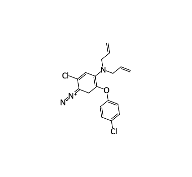 C=CCN(CC=C)C1=C(Oc2ccc(Cl)cc2)CC(=[N+]=[N-])C(Cl)=C1